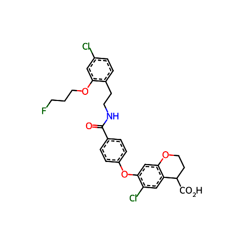 O=C(NCCc1ccc(Cl)cc1OCCCF)c1ccc(Oc2cc3c(cc2Cl)C(C(=O)O)CCO3)cc1